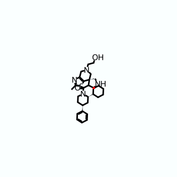 Cc1nc2c(s1)[C@@]1(CNCC1C(=O)N1CC[C@@H](c3ccccc3)C[C@H]1C1CCCCC1)CN(CCO)C2